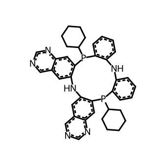 c1ccc2c(c1)Nc1ccccc1P(C1CCCCC1)c1cc3ncncc3cc1Nc1cc3cncnc3cc1P2C1CCCCC1